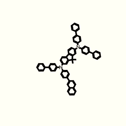 CC1(C)c2cc(N(c3ccc(-c4ccccc4)cc3)c3ccc(-c4ccccc4)cc3)ccc2-c2ccc(N(c3ccc(-c4ccccc4)cc3)c3ccc(-c4ccc5ccccc5c4)cc3)cc21